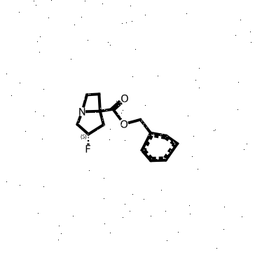 O=C(OCc1ccccc1)C12CCN1C[C@@H](F)C2